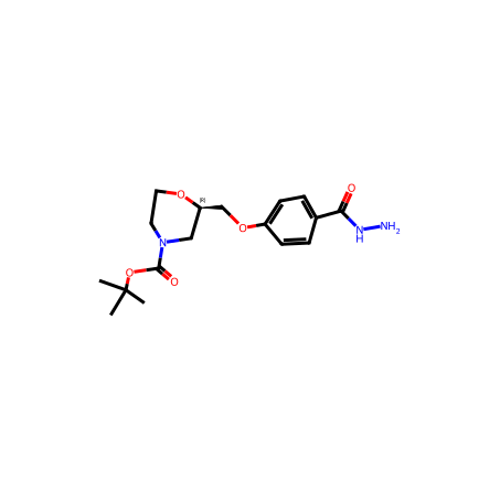 CC(C)(C)OC(=O)N1CCO[C@@H](COc2ccc(C(=O)NN)cc2)C1